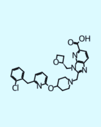 O=C(O)c1ccc2nc(CN3CCC(Oc4cccc(Cc5ccccc5Cl)n4)CC3)n(C[C@@H]3CCO3)c2n1